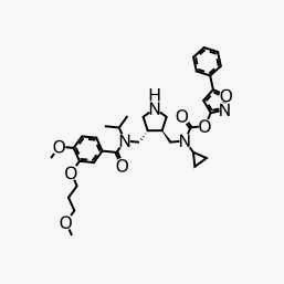 COCCCOc1cc(C(=O)N(C[C@@H]2CNC[C@H]2CN(C(=O)Oc2cc(-c3ccccc3)on2)C2CC2)C(C)C)ccc1OC